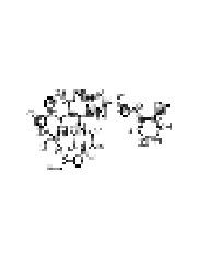 C=CCOC1(C)CCN(c2c(C(OC(C)(C)C)C(=O)OC)c(C)nc3cc(COCc4ccccc4Br)nn23)CC1